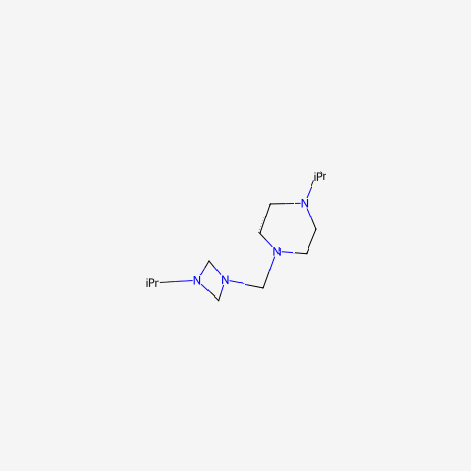 CC(C)N1CCN(CN2CN(C(C)C)C2)CC1